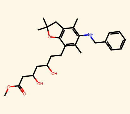 COC(=O)CC(O)CC(O)CCc1c(C)c(NCc2ccccc2)c(C)c2c1OC(C)(C)C2